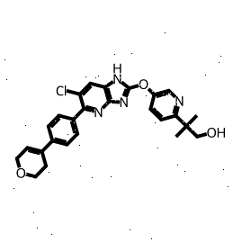 CC(C)(CO)c1ccc(Oc2nc3nc(-c4ccc(C5=CCOCC5)cc4)c(Cl)cc3[nH]2)cn1